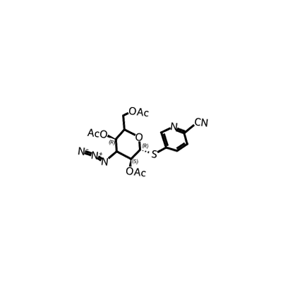 CC(=O)OCC1O[C@H](Sc2ccc(C#N)nc2)[C@@H](OC(C)=O)C(N=[N+]=[N-])[C@H]1OC(C)=O